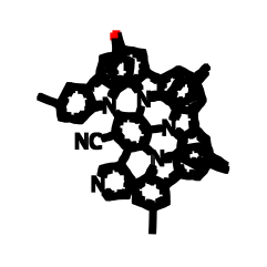 Cc1ccc2c(c1)c1cc(C)ccc1n2-c1c(C#N)c(-c2cccnc2)c(-n2c3ccc(C)cc3c3cc(C)ccc32)c(-n2c3ccc(C)cc3c3cc(C)ccc32)c1-n1c2ccc(C)cc2c2cc(C)ccc21